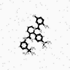 Cc1ccc(Cl)cc1C(=O)N1CCCC(C(=O)Nc2cccc(C(C)(C)C)c2)C1c1ccc(N(C)C)cc1